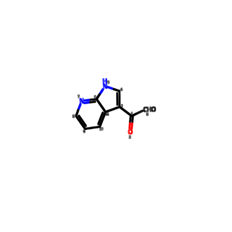 O=CC(=O)c1c[nH]c2ncccc12